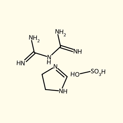 C1=NCCN1.N=C(N)NC(=N)N.O=S(=O)(O)O